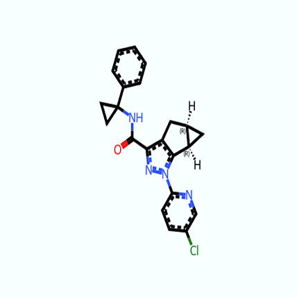 O=C(NC1(c2ccccc2)CC1)c1nn(-c2ccc(Cl)cn2)c2c1C[C@H]1C[C@@H]21